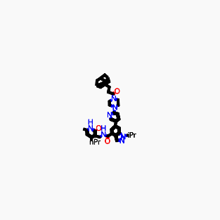 CCCc1cc(C)[nH]c(=O)c1CNC(=O)c1cc(-c2ccc(N3CCN(C(=O)CCC45CC6CC(CC(C6)C4)C5)CC3)nc2)cc2c1cnn2C(C)C